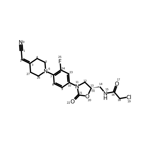 N#CC=C1CCN(c2ccc(N3C[C@H](CNC(=O)CCl)OC3=O)cc2F)CC1